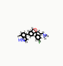 Cc1ccc(-c2ccc3c(c2)COC3(CCCN(C)C)c2ccc(F)cc2)c2cc[nH]c12